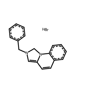 Br.C1=Cc2ccccc2N2CN(Cc3ccccc3)C=C12